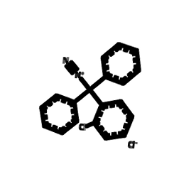 N#[N+]C(c1ccccc1)(c1ccccc1)c1ccccc1Cl.[Cl-]